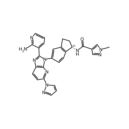 Cn1cc(C(=O)N[C@H]2CCc3cc(-n4c(-c5cccnc5N)nc5ccc(-n6cccn6)nc54)ccc32)cn1